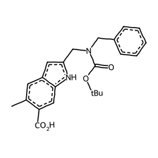 Cc1cc2cc(CN(Cc3ccccc3)C(=O)OC(C)(C)C)[nH]c2cc1C(=O)O